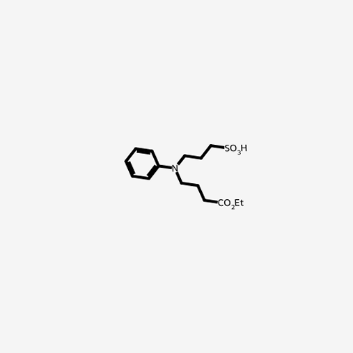 CCOC(=O)CCCN(CCCS(=O)(=O)O)c1ccccc1